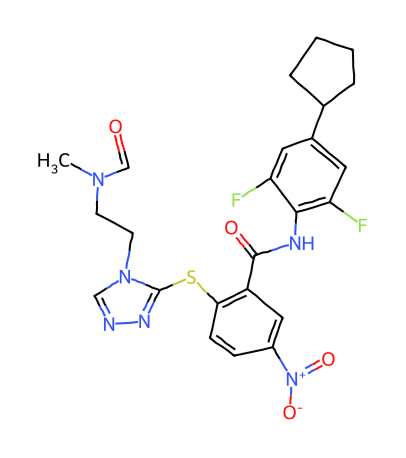 CN(C=O)CCn1cnnc1Sc1ccc([N+](=O)[O-])cc1C(=O)Nc1c(F)cc(C2CCCC2)cc1F